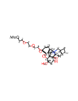 COCCOCCOCCOc1ccc2c3c1OC1[C@@H](O)CC[C@@]4(O)[C@@H](C2)N(CC2CCC2)CC[C@]314